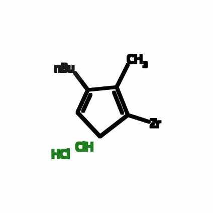 CCCCC1=CC[C]([Zr])=C1C.Cl.Cl